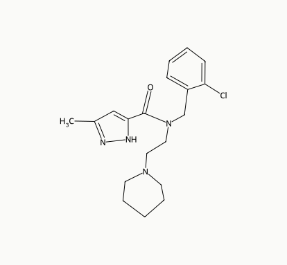 Cc1cc(C(=O)N(CCN2CCCCC2)Cc2ccccc2Cl)[nH]n1